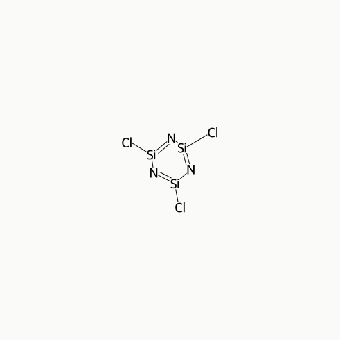 Cl[si]1n[si](Cl)n[si](Cl)n1